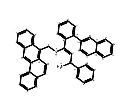 NC(/C=C(\NCc1c2ccccc2cc2c1ccc1ccccc12)c1ccccc1-c1ccc2ccccc2c1)c1ccccc1